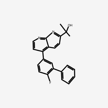 CC(C)(O)c1ccc2c(-c3ccc(F)c(-c4ccccc4)c3)ccnc2n1